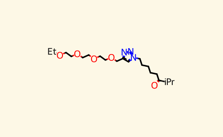 CCOCCOCCOCCOCc1cn(CCCCCC(=O)C(C)C)nn1